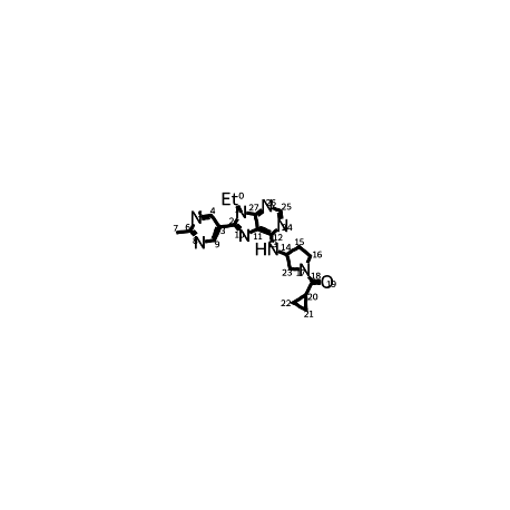 CCn1c(-c2cnc(C)nc2)nc2c(NC3CCN(C(=O)C4CC4)C3)ncnc21